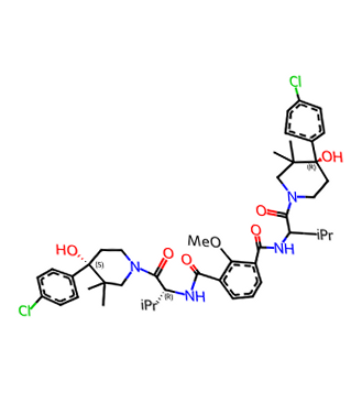 COc1c(C(=O)NC(C(=O)N2CC[C@@](O)(c3ccc(Cl)cc3)C(C)(C)C2)C(C)C)cccc1C(=O)N[C@@H](C(=O)N1CC[C@](O)(c2ccc(Cl)cc2)C(C)(C)C1)C(C)C